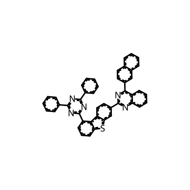 c1ccc(-c2nc(-c3ccccc3)nc(-c3cccc4sc5cc(-c6nc(-c7ccc8ccccc8c7)c7ccccc7n6)ccc5c34)n2)cc1